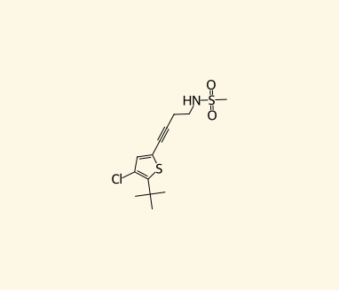 CC(C)(C)c1sc(C#CCCNS(C)(=O)=O)cc1Cl